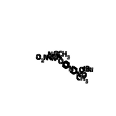 CN(C(=O)OC(C)(C)C)C1CCN(c2ccc(OCC3(C)Cn4cc([N+](=O)[O-])nc4O3)cc2)CC1